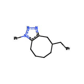 CC(C)CC1CCCCc2c(nnn2C(C)C)C1